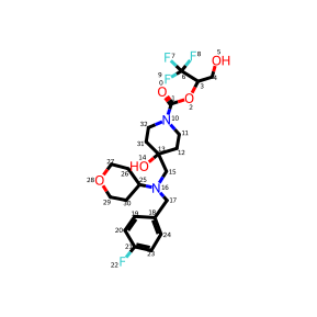 O=C(OC(CO)C(F)(F)F)N1CCC(O)(CN(Cc2ccc(F)cc2)C2CCOCC2)CC1